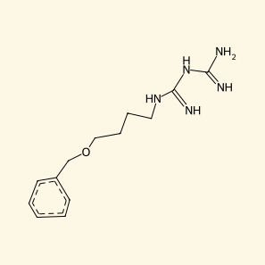 N=C(N)NC(=N)NCCCCOCc1ccccc1